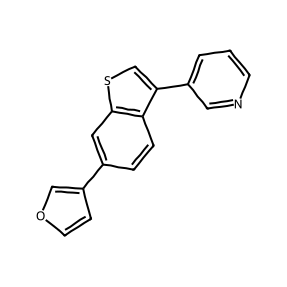 c1cncc(-c2csc3cc(-c4ccoc4)ccc23)c1